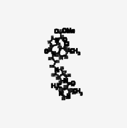 COC(=O)C(=O)N1CCC(C(=O)N(CCCN2CC3=CN(C(=O)c4c(C)ncnc4C)CC3C2)c2ccc(C)c(Cl)c2)C1